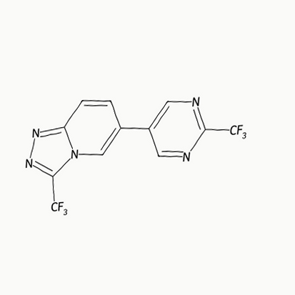 FC(F)(F)c1ncc(-c2ccc3nnc(C(F)(F)F)n3c2)cn1